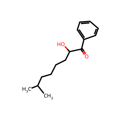 CC(C)CCCC[C](O)C(=O)c1ccccc1